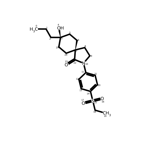 CCC[C@]1(O)CC[C@]2(CCN(c3ccc(S(=O)(=O)CC)cc3)C2=O)CC1